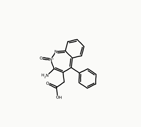 Nc1c(CC(=O)O)c(-c2ccccc2)c2ccccc2n[n+]1=O